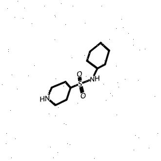 O=S(=O)(NC1CCCCC1)C1CCNCC1